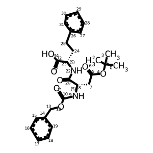 CC(C)(C)OC(=O)C[C@H](NC(=O)OCc1ccccc1)C(=O)N[C@@H](CCc1ccccc1)C(=O)O